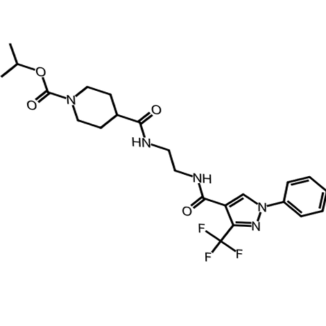 CC(C)OC(=O)N1CCC(C(=O)NCCNC(=O)c2cn(-c3ccccc3)nc2C(F)(F)F)CC1